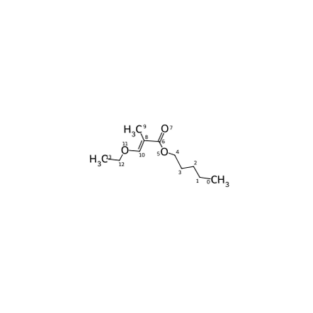 CCCCCOC(=O)C(C)=COCC